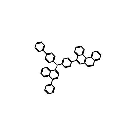 c1ccc(-c2ccc(N(c3ccc(-c4cc5ccc6ccccc6c5c5ccccc45)cc3)c3ccc(-c4ccccc4)c4ccccc34)cc2)cc1